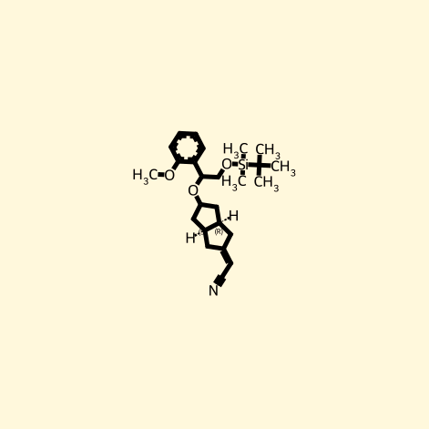 COc1ccccc1C(CO[Si](C)(C)C(C)(C)C)OC1C[C@H]2CC(=CC#N)C[C@H]2C1